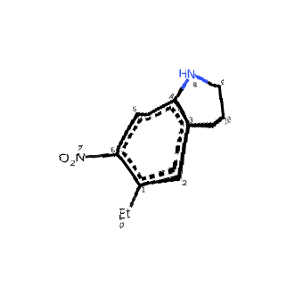 CCc1cc2c(cc1[N+](=O)[O-])NCC2